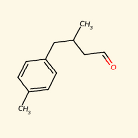 Cc1ccc(CC(C)CC=O)cc1